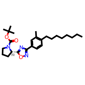 CCCCCCCCc1ccc(-c2noc([C@@H]3CCCN3C(=O)OC(C)(C)C)n2)cc1C